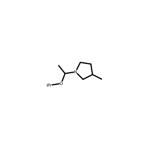 CC1CCN(C(C)OC(C)C)C1